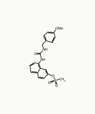 COc1ccc(CNC(=O)Nc2cccc3ccc(OS(C)(=O)=O)cc23)cc1